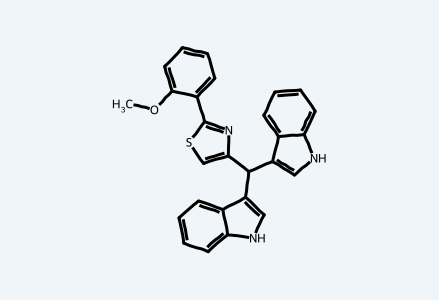 COc1ccccc1-c1nc(C(c2c[nH]c3ccccc23)c2c[nH]c3ccccc23)cs1